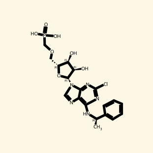 C[C@@H](Nc1nc(Cl)nc2c1ncn2[C@@H]1O[C@H](COCP(=O)(O)O)[C@@H](O)[C@H]1O)c1ccccc1